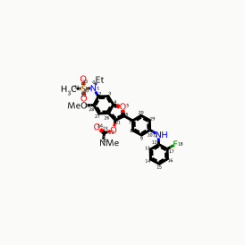 CCN(c1cc2oc(-c3ccc(Nc4ccccc4F)cc3)c(OC(=O)NC)c2cc1OC)S(C)(=O)=O